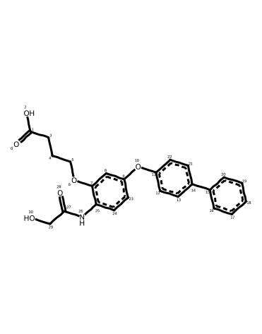 O=C(O)CCCOc1cc(Oc2ccc(-c3ccccc3)cc2)ccc1NC(=O)CO